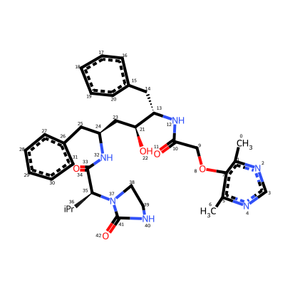 Cc1ncnc(C)c1OCC(=O)N[C@@H](Cc1ccccc1)[C@@H](O)C[C@H](Cc1ccccc1)NC(=O)[C@H](C(C)C)N1CCNC1=O